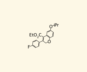 CCOC(=O)C1=C(c2ccc(F)cc2)COc2ccc(OC(C)C)cc21